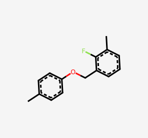 Cc1ccc(OCc2cccc(C)c2F)cc1